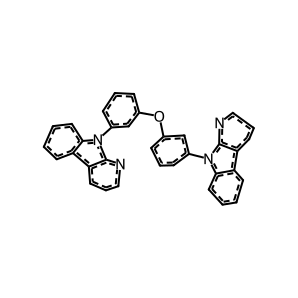 c1cc(Oc2cccc(-n3c4ccccc4c4cccnc43)c2)cc(-n2c3ccccc3c3cccnc32)c1